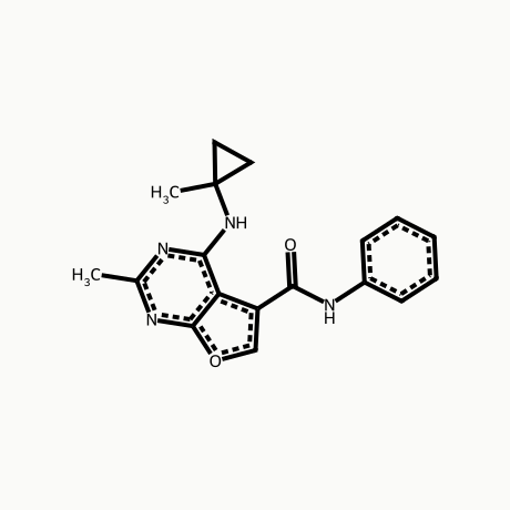 Cc1nc(NC2(C)CC2)c2c(C(=O)Nc3ccccc3)coc2n1